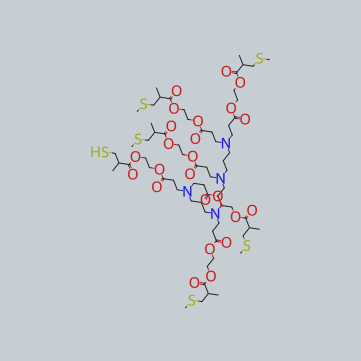 CSCC(C)C(=O)OCCOC(=O)CCN(CCCN(CCCN(CCC(=O)OCCOC(=O)C(C)CSC)CCC(=O)OCCOC(=O)C(C)CSC)CCC(=O)OCCOC(=O)C(C)CSC)CCCN(CCC(=O)OCCOC(=O)C(C)CS)CCC(=O)OCCOC(=O)C(C)CSC